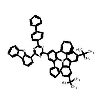 CC(C)(C)C1=Cc2c(n(-c3c(C4=CC=CC#CC4)cc(-c4nc(-c5ccc(-c6ccccc6)cc5)nc(-c5cccc6c5oc5ccccc56)n4)cc3-c3ccccc3)c3ccc(C(C)(C)C)cc23)CC1